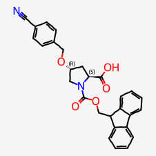 N#Cc1ccc(CO[C@@H]2C[C@@H](C(=O)O)N(C(=O)OCC3c4ccccc4-c4ccccc43)C2)cc1